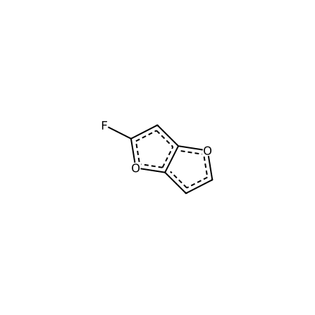 Fc1cc2occc2o1